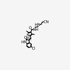 Cc1[nH]c(/C=C2\C(=O)Nc3ccc(Cl)cc32)c(C)c1C(=O)NCCNCCC#N